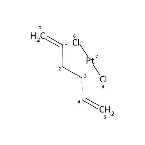 C=CCCC=C.[Cl][Pt][Cl]